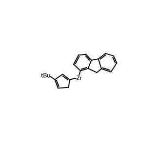 CC(C)(C)C1=CC[C]([Zr][c]2cccc3c2Cc2ccccc2-3)=C1